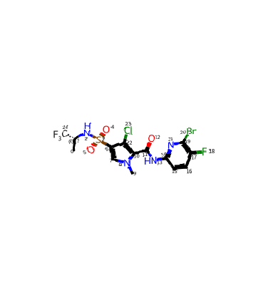 C[C@@H](NS(=O)(=O)c1cn(C)c(C(=O)Nc2ccc(F)c(Br)n2)c1Cl)C(F)(F)F